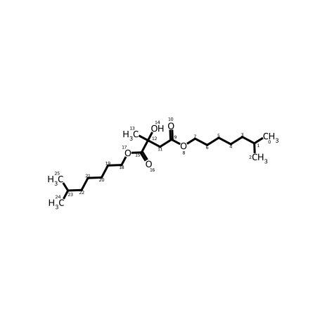 CC(C)CCCCCOC(=O)CC(C)(O)C(=O)OCCCCCC(C)C